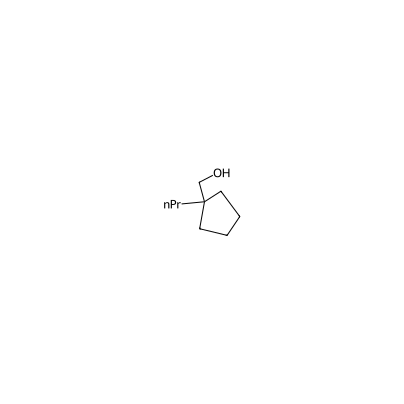 CCCC1(CO)CCCC1